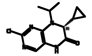 CC(C)N1c2nc(Cl)ncc2NC(=O)[C@H]1C1CC1